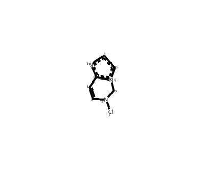 ClN1C=Cc2n[c]cn2C1